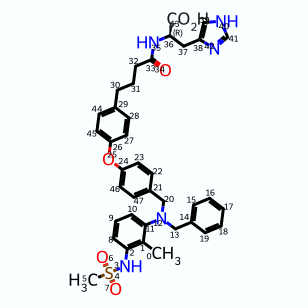 Cc1c(NS(C)(=O)=O)cccc1N(Cc1ccccc1)Cc1ccc(Oc2ccc(CCCC(=O)N[C@H](Cc3c[nH]cn3)C(=O)O)cc2)cc1